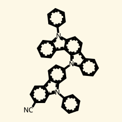 N#Cc1ccc2c3ccc(-n4c5ccccc5c5ccc6c(c7ccccc7n6-c6ccccc6)c54)cc3n(-c3ccccc3)c2c1